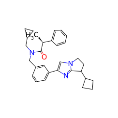 C[C@H](C(=O)N(Cc1cccc(-c2cn3c(n2)C(C2CCC2)CC3)c1)CC1CC1)c1ccccc1